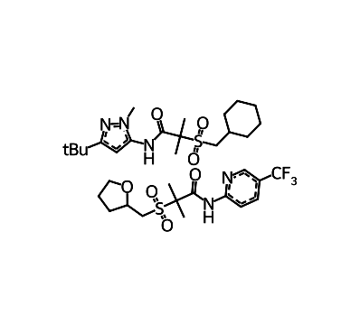 CC(C)(C(=O)Nc1ccc(C(F)(F)F)cn1)S(=O)(=O)CC1CCCO1.Cn1nc(C(C)(C)C)cc1NC(=O)C(C)(C)S(=O)(=O)CC1CCCCC1